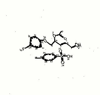 CC(=O)OC(C=CCO)COc1ccc(F)cc1.Cc1ccc(S(=O)(=O)O)cc1